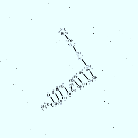 CC(C)O.CC(C)O.CC(C)O.CC(C)O.CCCCO.CCCCO.CCCCO.CCCCO.CCO.CCO.CCO.CCO.[SiH4].[SiH4].[SiH4]